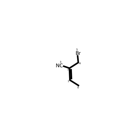 C/C=C(/C#N)CBr